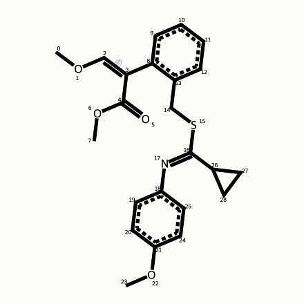 CO/C=C(\C(=O)OC)c1ccccc1CSC(=Nc1ccc(OC)cc1)C1CC1